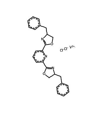 [Cl-].[Cl-].[V+2].c1ccc(CC2COC(c3cccc(C4=NC(Cc5ccccc5)CO4)n3)=N2)cc1